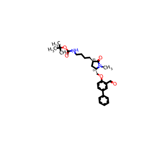 CN1C(=O)[C@H](CCCCNC(=O)OC(C)(C)C)C[C@H]1COc1ccc(-c2ccccc2)cc1C=O